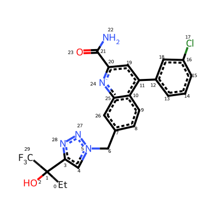 CCC(O)(c1cn(Cc2ccc3c(-c4cccc(Cl)c4)cc(C(N)=O)nc3c2)nn1)C(F)(F)F